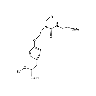 CCOC(Cc1ccc(OCCN(CC(C)C)C(=O)NCCOC)cc1)C(=O)O